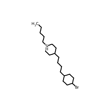 CCCCC[SiH]1CCC(CCCCC2CCC(Br)CC2)CC1